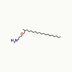 CCCCCCCCCCCCCCCCCC(C)COCCCN